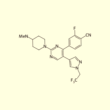 CNC1CCN(c2ncc(-c3cnn(CC(F)(F)F)c3)c(-c3ccc(C#N)c(F)c3)n2)CC1